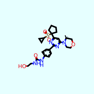 C[C@H]1COCCN1c1cc(C2(S(=O)(=O)C3CC3)CCCC2)nc(-c2ccc(NC(=O)NCCO)cc2)n1